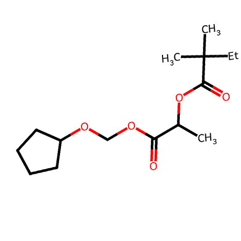 CCC(C)(C)C(=O)OC(C)C(=O)OCOC1CCCC1